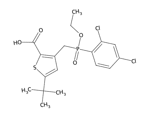 CCOP(=O)(Cc1cc(C(C)(C)C)sc1C(=O)O)c1ccc(Cl)cc1Cl